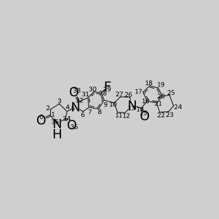 O=C1CCC(N2Cc3cc(C4CCN(C(=O)c5cccc6c5CCCC6)CC4)c(F)cc3C2=O)C(=O)N1